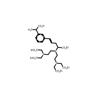 CCOC(=O)CN(CCN(CCN(CC(=O)OCC)CC(=O)OCC)C(CC=Cc1cccc(C(C)C(=O)O)c1)C(=O)OCC)CC(=O)OCC